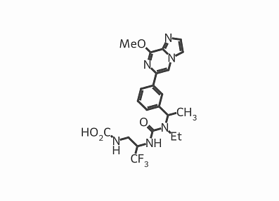 CCN(C(=O)NC(CNC(=O)O)C(F)(F)F)C(C)c1cccc(-c2cn3ccnc3c(OC)n2)c1